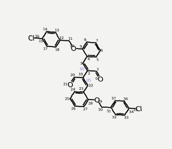 O=CC(=C\c1ccccc1OCc1ccc(Cl)cc1)/C(C=O)=C/c1ccccc1OCc1ccc(Cl)cc1